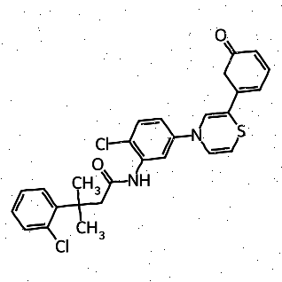 CC(C)(CC(=O)Nc1cc(N2C=CSC(C3=CC=CC(=O)C3)=C2)ccc1Cl)c1ccccc1Cl